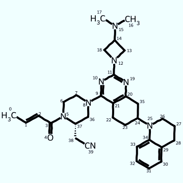 C/C=C/C(=O)N1CCN(c2nc(N3CC(N(C)C)C3)nc3c2CCC(N2CCCc4ccccc42)C3)C[C@@H]1CC#N